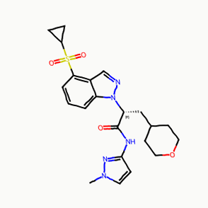 Cn1ccc(NC(=O)[C@@H](CC2CCOCC2)n2ncc3c(S(=O)(=O)C4CC4)cccc32)n1